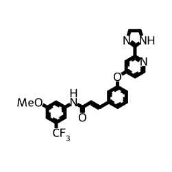 COc1cc(NC(=O)C=Cc2cccc(Oc3ccnc(C4=NCCN4)c3)c2)cc(C(F)(F)F)c1